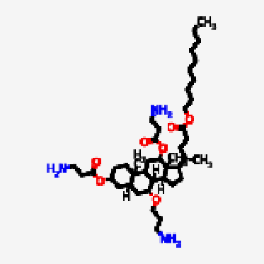 CCCCCCCCCCOC(=O)CC[C@@H](C)[C@H]1CC[C@H]2[C@H]3C(C[C@H](OC(=O)CCN)[C@]12C)[C@@]1(C)CC[C@@H](OC(=O)CCN)C[C@H]1C[C@H]3OCCCN